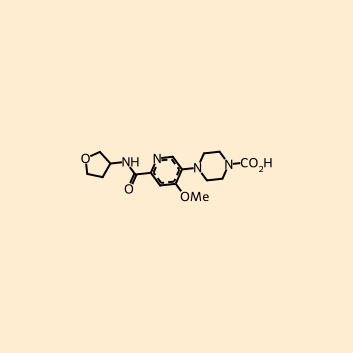 COc1cc(C(=O)NC2CCOC2)ncc1N1CCN(C(=O)O)CC1